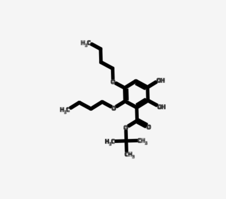 CCCCOc1cc(O)c(O)c(C(=O)OC(C)(C)C)c1OCCCC